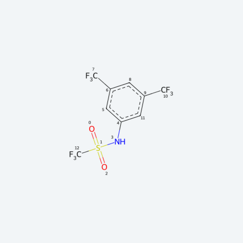 O=S(=O)(Nc1cc(C(F)(F)F)cc(C(F)(F)F)c1)C(F)(F)F